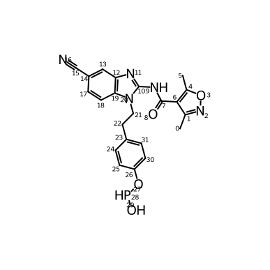 Cc1noc(C)c1C(=O)Nc1nc2cc(C#N)ccc2n1CCc1ccc(OPO)cc1